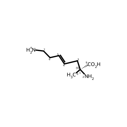 C[C@](N)(CC=CCCN)C(=O)O